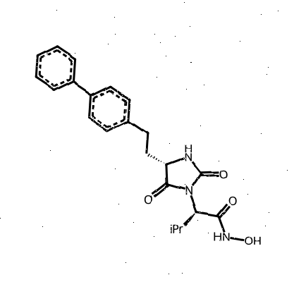 CC(C)[C@H](C(=O)NO)N1C(=O)N[C@@H](CCc2ccc(-c3ccccc3)cc2)C1=O